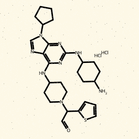 Cl.Cl.NC1CCC(Nc2nc(NC3CCN(C(C=O)c4cccs4)CC3)c3ncn(C4CCCC4)c3n2)CC1